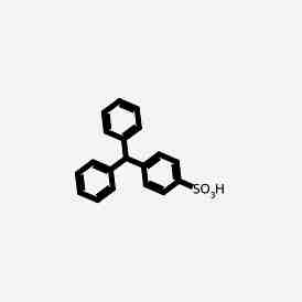 O=S(=O)(O)c1ccc(C(c2ccccc2)c2ccccc2)cc1